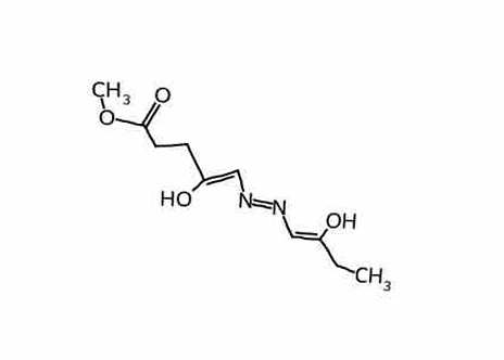 CCC(O)=CN=NC=C(O)CCC(=O)OC